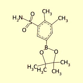 Cc1cc(B2OC(C)(C)C(C)(C)O2)cc(S(N)(=O)=O)c1C